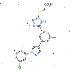 Cc1cc(-c2cnn(-c3cccc(Cl)c3)c2)cc(-c2nnc(SCC(=O)O)[nH]2)c1